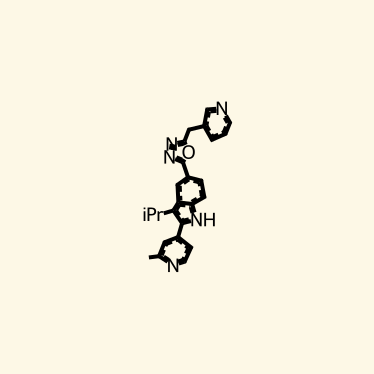 Cc1cc(-c2[nH]c3ccc(-c4nnc(Cc5cccnc5)o4)cc3c2C(C)C)ccn1